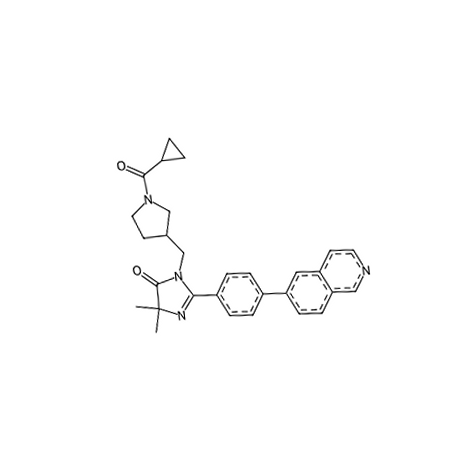 CC1(C)N=C(c2ccc(-c3ccc4cnccc4c3)cc2)N(CC2CCN(C(=O)C3CC3)C2)C1=O